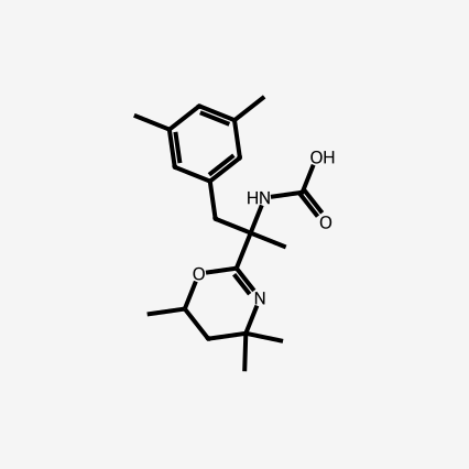 Cc1cc(C)cc(CC(C)(NC(=O)O)C2=NC(C)(C)CC(C)O2)c1